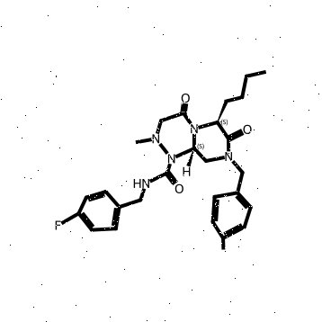 CCCC[C@H]1C(=O)N(Cc2ccc(C)cc2)C[C@H]2N1C(=O)CN(C)N2C(=O)NCc1ccc(F)cc1